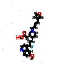 COc1ccc2nccc([C@H](F)CC[C@@H]3CCN(CCCCc4ccoc4)C[C@@H]3CC(=O)O)c2c1